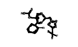 O=C(O)Oc1cnc(Cn2nnc(C(F)(F)F)n2)nc1-c1ccccc1Cl